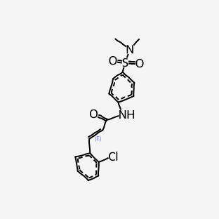 CN(C)S(=O)(=O)c1ccc(NC(=O)/C=C/c2ccccc2Cl)cc1